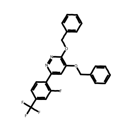 Fc1cc(C(F)(F)F)ccc1-c1cc(OCc2ccccc2)c(OCc2ccccc2)nn1